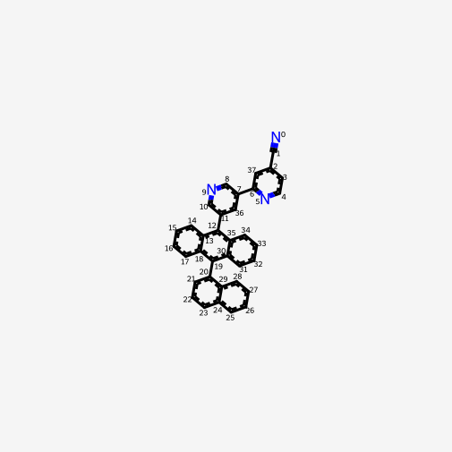 N#Cc1ccnc(-c2cncc(-c3c4ccccc4c(-c4cccc5ccccc45)c4ccccc34)c2)c1